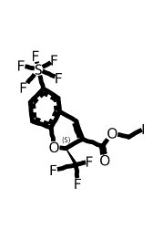 O=C(OCI)C1=Cc2cc(S(F)(F)(F)(F)F)ccc2O[C@@H]1C(F)(F)F